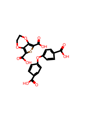 O=C(O)c1ccc(Oc2ccc(C(=O)O)cc2)cc1.O=C(O)c1sc(C(=O)O)c2c1OCCO2